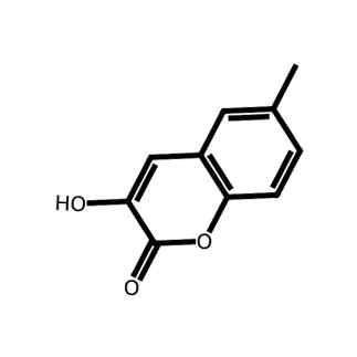 Cc1ccc2oc(=O)c(O)cc2c1